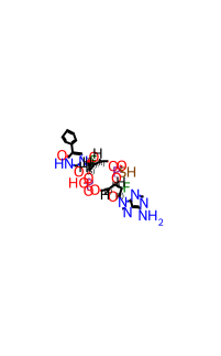 Nc1ncnc2c1ncn2[C@@H]1O[C@@H]2COP(=O)(O)O[C@@H]3[C@H](F)[C@@H](COP(=O)(S)O[C@H]2C1F)O[C@H]3n1cc(-c2ccccc2)c(=O)[nH]c1=O